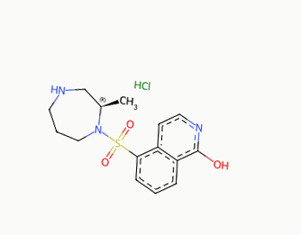 C[C@@H]1CNCCCN1S(=O)(=O)c1cccc2c(O)nccc12.Cl